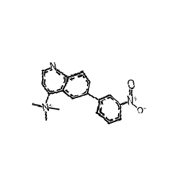 C[N+](C)(C)c1ccnc2ccc(-c3cccc([N+](=O)[O-])c3)cc12